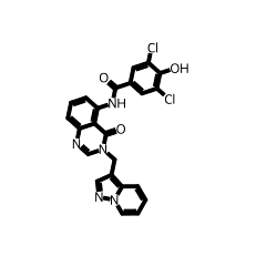 O=C(Nc1cccc2ncn(Cc3cnn4ccccc34)c(=O)c12)c1cc(Cl)c(O)c(Cl)c1